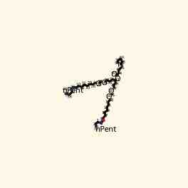 CCCCC/C=C\C/C=C\CCCCCCCCOCOCCCC(CCCOCOCCCCCCCC/C=C\C/C=C\CCCCC)OC(=O)CCCN1CCCC1